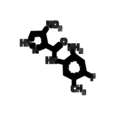 Cc1cc(NC(=O)c2n[nH]cc2[N+](=O)[O-])c(N)cc1F